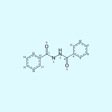 O=C([N]NC(=O)c1ccccc1)c1ccccc1